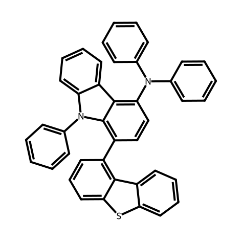 c1ccc(N(c2ccccc2)c2ccc(-c3cccc4sc5ccccc5c34)c3c2c2ccccc2n3-c2ccccc2)cc1